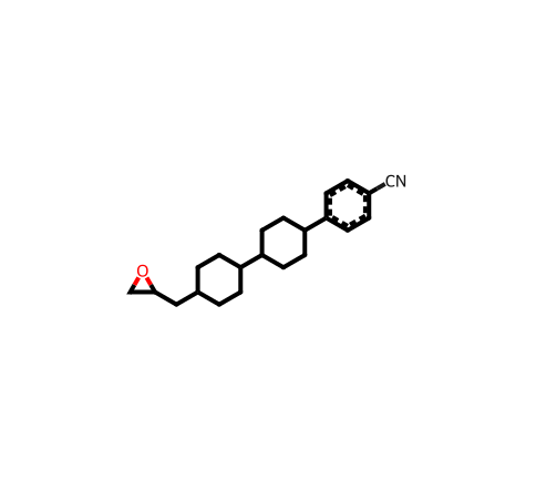 N#Cc1ccc(C2CCC(C3CCC(CC4CO4)CC3)CC2)cc1